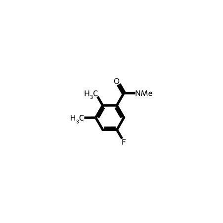 CNC(=O)c1cc(F)cc(C)c1C